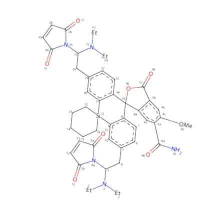 CCN(CC)C(Cc1ccc2c(c1)[Si]1(CCCCC1)c1cc(CC(N(CC)CC)N3C(=O)C=CC3=O)ccc1C21OC(=O)c2cc(OC)c(C(N)=O)cc21)N1C(=O)C=CC1=O